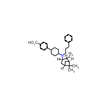 C[C@H]1[C@@H](N(CCCc2ccccc2)C2CCC(c3ccc(C(=O)O)cc3)CC2)C[C@@H]2C[C@@H]1C2(C)C